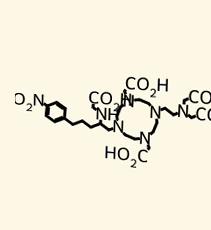 O=C(O)CNC(CCCc1ccc([N+](=O)[O-])cc1)CN1CCN(CC(=O)O)CCN(CCN(CC(=O)O)CC(=O)O)CCN(CC(=O)O)CC1